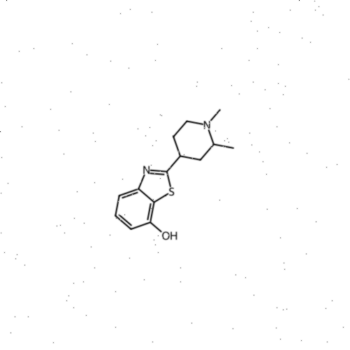 CC1CC(c2nc3cccc(O)c3s2)CCN1C